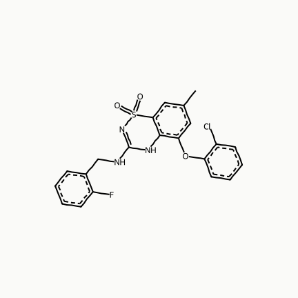 Cc1cc(Oc2ccccc2Cl)c2c(c1)S(=O)(=O)N=C(NCc1ccccc1F)N2